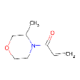 C=CC(=O)N1CCOCC1C